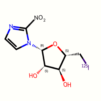 O=[N+]([O-])c1nccn1[C@@H]1O[C@H](C[125I])[C@@H](O)[C@@H]1O